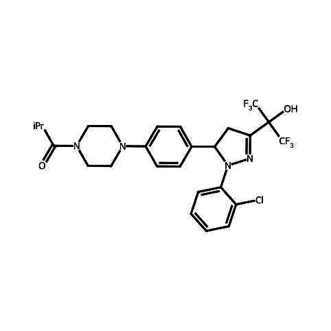 CC(C)C(=O)N1CCN(c2ccc(C3CC(C(O)(C(F)(F)F)C(F)(F)F)=NN3c3ccccc3Cl)cc2)CC1